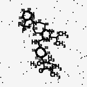 CC(C)c1nc2c(c(Nc3ccc(C(C)(C)C(=O)N(C)C)cc3)n1)CCN(c1ncccc1C(F)(F)F)CC2